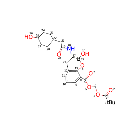 CC(C)(C)C(=O)OCOC(=O)c1cccc2c1OB(O)[C@@H](NC(=O)CC1CCC(O)CC1)C2